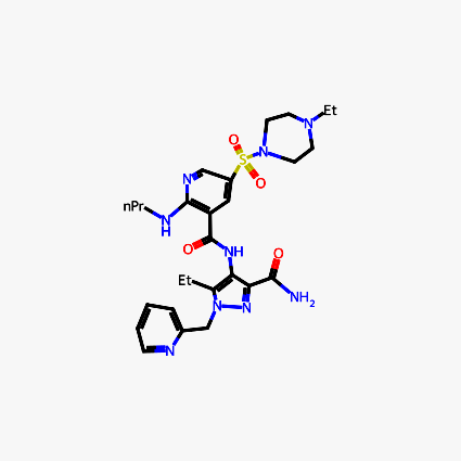 CCCNc1ncc(S(=O)(=O)N2CCN(CC)CC2)cc1C(=O)Nc1c(C(N)=O)nn(Cc2ccccn2)c1CC